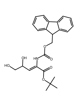 CC(C)(C)OC(=O)/C(=C/C(O)CO)NC(=O)OCC1c2ccccc2-c2ccccc21